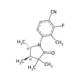 Cc1c(N2C(=O)C(C)(C)[C@@H](C)[C@@H]2C)ccc(C#N)c1F